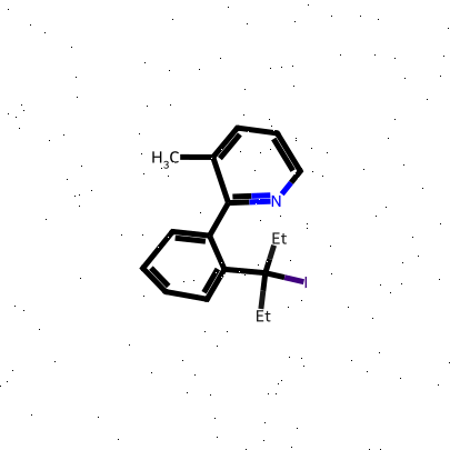 CCC(I)(CC)c1ccccc1-c1ncccc1C